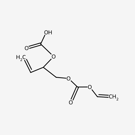 C=COC(=O)OCC(C=C)OC(=O)O